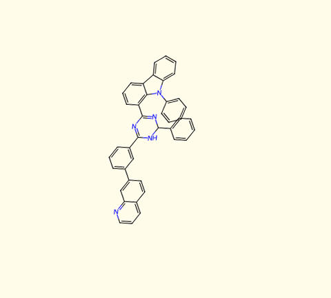 c1ccc(C2N=C(c3cccc4c5ccccc5n(-c5ccccc5)c34)N=C(c3cccc(-c4ccc5cccnc5c4)c3)N2)cc1